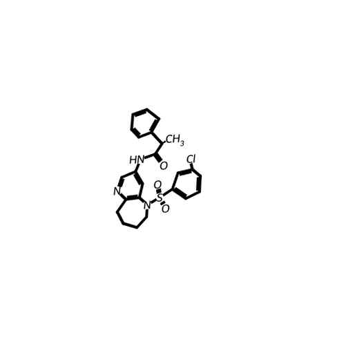 C[C@H](C(=O)Nc1cnc2c(c1)N(S(=O)(=O)c1cccc(Cl)c1)CCCC2)c1ccccc1